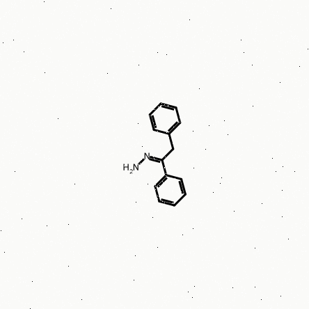 NN=C(Cc1ccccc1)c1ccccc1